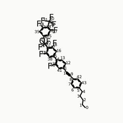 CCCCCc1ccc(C#Cc2ccc(-c3cc(F)c(C(F)(F)Oc4cc(F)c(C(F)(F)F)c(F)c4)c(F)c3)c(F)c2)cc1